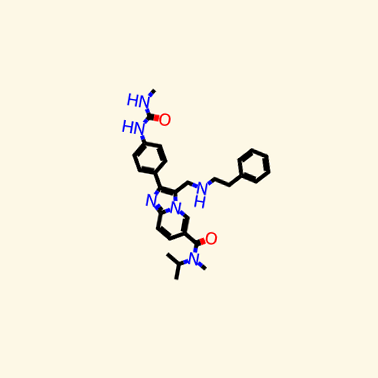 CNC(=O)Nc1ccc(-c2nc3ccc(C(=O)N(C)C(C)C)cn3c2CNCCc2ccccc2)cc1